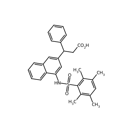 Cc1cc(C)c(C)c(S(=O)(=O)Nc2cc(C(CC(=O)O)c3ccccc3)cc3ccccc23)c1C